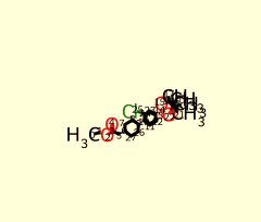 CCOC(=O)C[C@H]1CC[C@H](c2ccc(B3OC(C)(C)C(C)(C)O3)cc2Cl)CC1